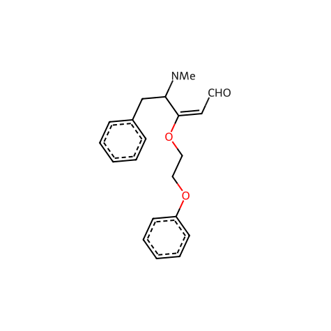 CNC(Cc1ccccc1)/C(=C\C=O)OCCOc1ccccc1